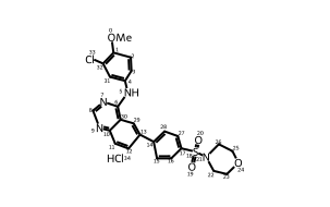 COc1ccc(Nc2ncnc3ccc(-c4ccc(S(=O)(=O)N5CCOCC5)cc4)cc23)cc1Cl.Cl